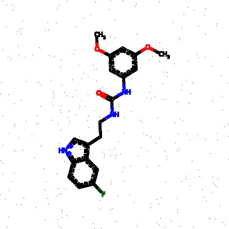 COc1cc(NC(=O)NCCc2c[nH]c3ccc(F)cc23)cc(OC)c1